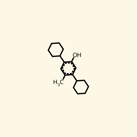 Cc1cc(C2CCCCC2)c(O)cc1C1CCCCC1